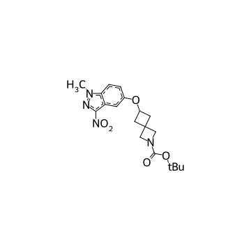 Cn1nc([N+](=O)[O-])c2cc(OC3CC4(C3)CN(C(=O)OC(C)(C)C)C4)ccc21